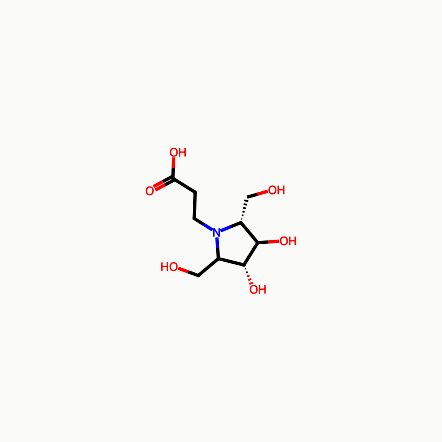 O=C(O)CCN1C(CO)[C@@H](O)C(O)[C@H]1CO